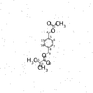 CC(=O)OCc1ccc(COC(=O)C(C)C)cc1